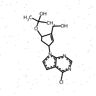 CC(C)(O)OC1CC(n2ccc3c(Cl)ncnc32)C=C1CO